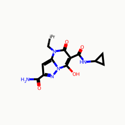 CC(C)Cn1c(=O)c(C(=O)NC2CC2)c(O)n2nc(C(N)=O)cc12